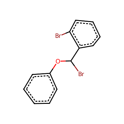 Brc1ccccc1C(Br)Oc1ccccc1